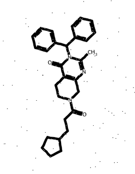 Cc1nc2c(c(=O)n1C(c1ccccc1)c1ccccc1)CCN(C(=O)CCC1CCCC1)C2